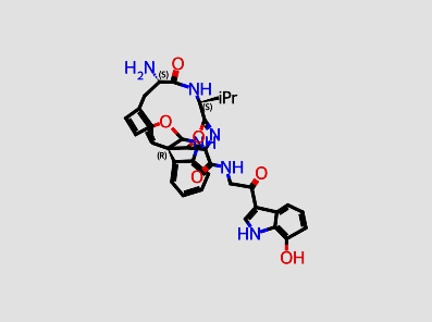 CC(C)[C@@H]1NC(=O)[C@@H](N)Cc2ccc3c(c2)[C@@]2(c4ccccc4NC2O3)c2oc1nc2C(=O)NCC(=O)c1c[nH]c2c(O)cccc12